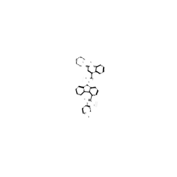 O=C(NC1c2ccccc2-c2c(-c3nc4ccncc4[nH]3)cccc21)c1cc(N2CCCCC2)nc2ccccc12